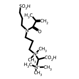 C=C(C)C(=O)N(CCC[N+](C)(C)C(C(=O)O)[N+](C)(C)C)CCCS(=O)(=O)O